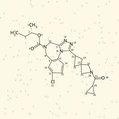 CC[C@H](C)OC(=O)N1Cc2cc(Cl)ccc2-n2c(nnc2C2CC3(C2)CN(C(=O)C2CC2)C3)C1